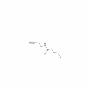 N#CCCNC(=O)CCCS